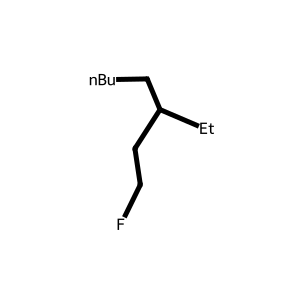 CCCCCC(CC)CCF